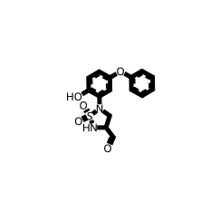 O=CC1CN(c2cc(Oc3ccccc3)ccc2O)S(=O)(=O)N1